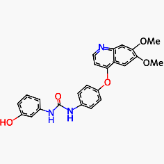 COc1cc2nccc(Oc3ccc(NC(=O)Nc4cccc(O)c4)cc3)c2cc1OC